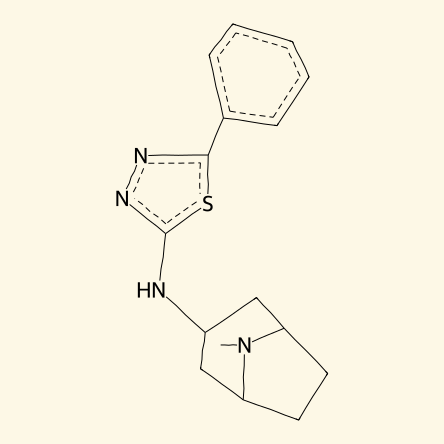 CN1C2CCC1CC(Nc1nnc(-c3ccccc3)s1)C2